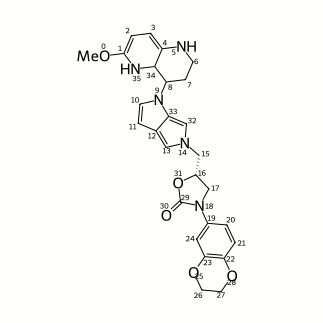 COC1=CC=C2NCCC(n3ccc4cn(C[C@@H]5CN(c6ccc7c(c6)OCCO7)C(=O)O5)cc43)C2N1